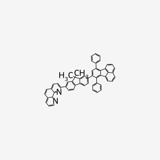 CC1(C)c2cc(-c3ccc4ccc5cccnc5c4n3)ccc2-c2ccc(-c3cc(-c4ccccc4)c4c(c3-c3ccccc3)-c3cccc5cccc-4c35)cc21